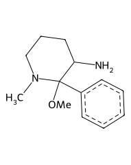 COC1(c2ccccc2)C(N)CCCN1C